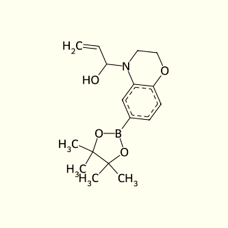 C=CC(O)N1CCOc2ccc(B3OC(C)(C)C(C)(C)O3)cc21